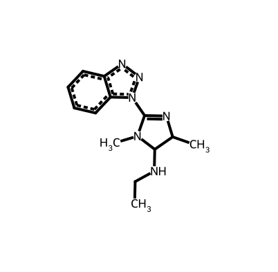 CCNC1C(C)N=C(n2nnc3ccccc32)N1C